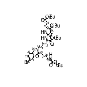 CC(C)COC(=O)CCC(NC(=O)N[C@@H](CCCCN(Cc1ccc(Br)cc1)C(=O)CCCCNC(=O)OC(C)(C)C)C(=O)OC(C)(C)C)C(=O)OCC(C)C